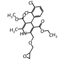 CCOC(=O)C1=C(COCC2CO2)NC(C)=C(C(=O)OC)C1c1cccc(Cl)c1Cl